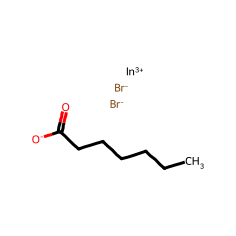 CCCCCCC(=O)[O-].[Br-].[Br-].[In+3]